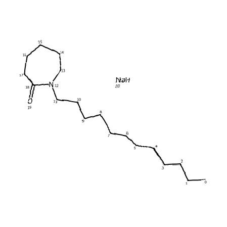 CCCCCCCCCCCCN1CCCCCC1=O.[NaH]